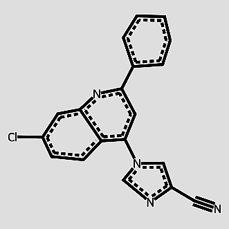 N#Cc1cn(-c2cc(-c3ccccc3)nc3cc(Cl)ccc23)cn1